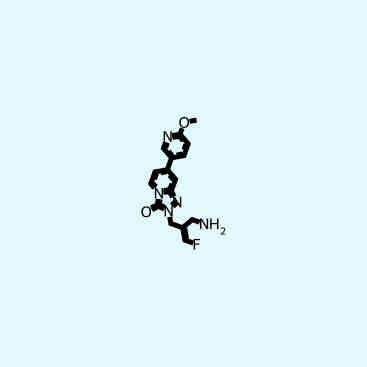 COc1ccc(-c2ccn3c(=O)n(C/C(=C/F)CN)nc3c2)cn1